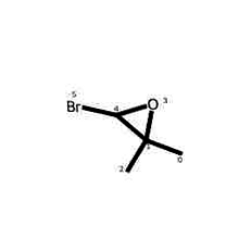 CC1(C)OC1Br